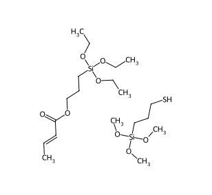 CC=CC(=O)OCCC[Si](OCC)(OCC)OCC.CO[Si](CCCS)(OC)OC